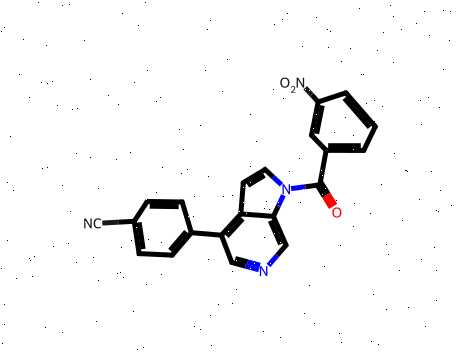 N#Cc1ccc(-c2cncc3c2ccn3C(=O)c2cccc([N+](=O)[O-])c2)cc1